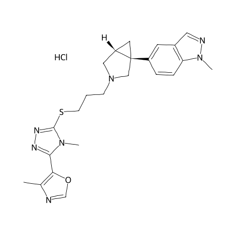 Cc1ncoc1-c1nnc(SCCCN2C[C@@H]3C[C@]3(c3ccc4c(cnn4C)c3)C2)n1C.Cl